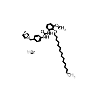 Br.CCCCCCCCCCCCCCCCOc1c(NC(=O)Nc2ccc(CN3C=CSC3)cc2)cccc1OC